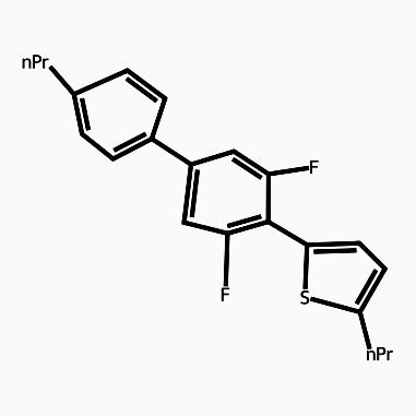 CCCc1ccc(-c2cc(F)c(-c3ccc(CCC)s3)c(F)c2)cc1